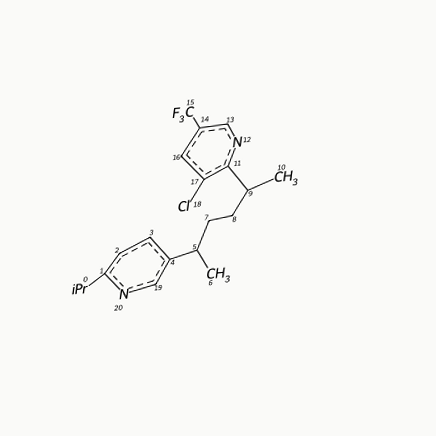 CC(C)c1ccc(C(C)CCC(C)c2ncc(C(F)(F)F)cc2Cl)cn1